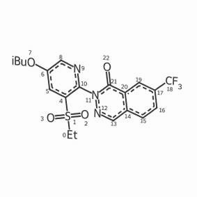 CCS(=O)(=O)c1cc(OCC(C)C)cnc1-n1ncc2ccc(C(F)(F)F)cc2c1=O